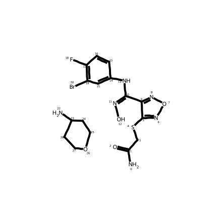 NC(=O)CSc1nonc1C(=NO)Nc1ccc(F)c(Br)c1.NC1CCOCC1